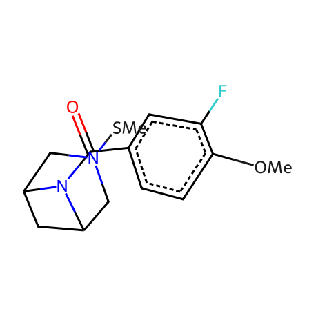 COc1ccc(C(=O)N2C3CC2CN(SC)C3)cc1F